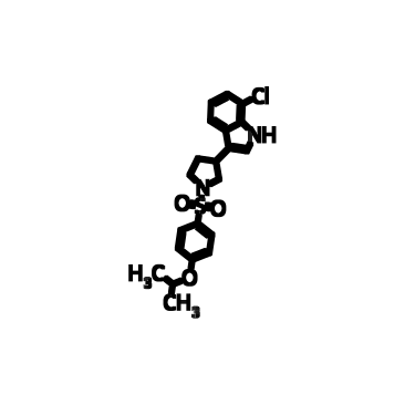 CC(C)Oc1ccc(S(=O)(=O)N2CCC(c3c[nH]c4c(Cl)cccc34)C2)cc1